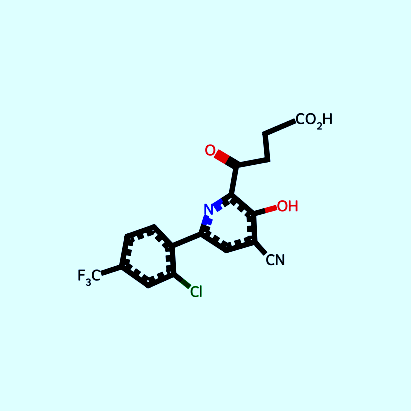 N#Cc1cc(-c2ccc(C(F)(F)F)cc2Cl)nc(C(=O)CCC(=O)O)c1O